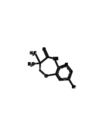 CC1(C)COc2cc(Br)cnc2NC1=O